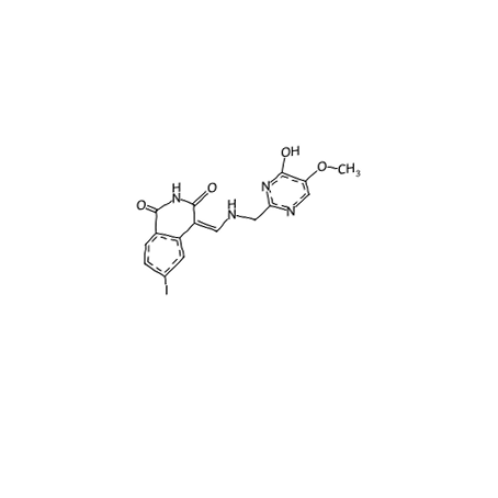 COc1cnc(CN/C=C2\C(=O)NC(=O)c3ccc(I)cc32)nc1O